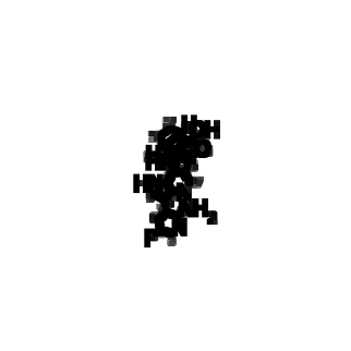 Nc1ncc(F)cc1-c1c[nH]c2c(N[C@H]3[C@H]4CC[C@H](CC4)[C@@H]3C(=O)O)c(F)cnc12